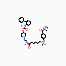 CCCN(C)C(=O)c1ccc(CN(CCCCCC(=O)N(C)CCN2CCC(OC(=O)Nc3ccccc3-c3ccccc3)CC2)C(C)C)cc1